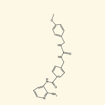 COc1ccc(CNC(=O)NCc2ccc(C(=O)Nc3cccnc3N)cc2)cc1